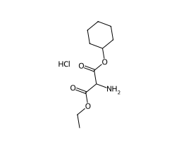 CCOC(=O)C(N)C(=O)OC1CCCCC1.Cl